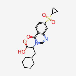 O=C(O)C(CC1CCCCC1)n1cnc2cc(S(=O)(=O)C3CC3)ccc2c1=O